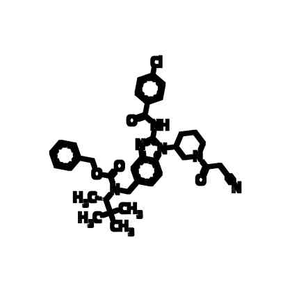 C[C@H](N(Cc1ccc2c(c1)nc(NC(=O)c1ccc(Cl)cc1)n2C1CCCN(C(=O)CC#N)C1)C(=O)OCc1ccccc1)C(C)(C)C